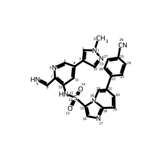 Cn1cc(-c2cnc(C=N)c(NS(=O)(=O)c3cnc4ccc(-c5ccc(C#N)cc5)cn34)c2)cn1